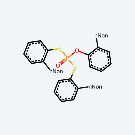 CCCCCCCCCc1ccccc1OP(=O)(Sc1ccccc1CCCCCCCCC)Sc1ccccc1CCCCCCCCC